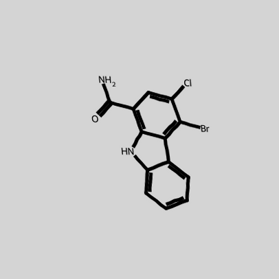 NC(=O)c1cc(Cl)c(Br)c2c1[nH]c1ccccc12